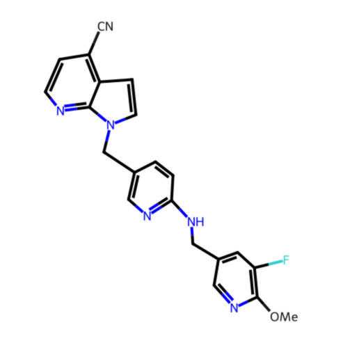 COc1ncc(CNc2ccc(Cn3ccc4c(C#N)ccnc43)cn2)cc1F